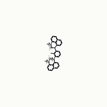 Cc1c(C2c3cccc4cccc(c34)N(C)[C@H]2C)cccc1N1c2cccc3cccc(c23)N(C)[C@@H]1C